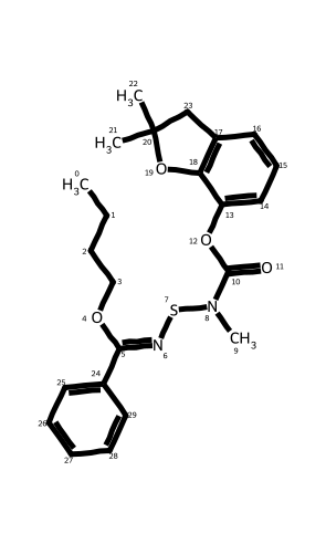 CCCCOC(=NSN(C)C(=O)Oc1cccc2c1OC(C)(C)C2)c1ccccc1